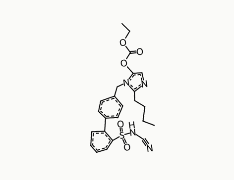 CCCCc1ncc(OC(=O)OCC)n1Cc1ccc(-c2ccccc2S(=O)(=O)NC#N)cc1